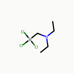 CCN(CC)C[Si](Cl)(Cl)Cl